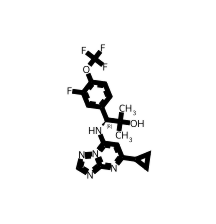 CC(C)(O)[C@H](Nc1cc(C2CC2)nc2ncnn12)c1ccc(OC(F)(F)F)c(F)c1